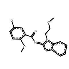 COCCn1c(=NC(=O)c2cc(Cl)ccc2OC)sc2ccccc21